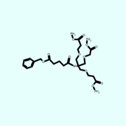 O=C(CCCC(=O)OCc1ccccc1)NC(COCCC(=O)OP)(COCCC(=O)OP)COCC(=O)OP